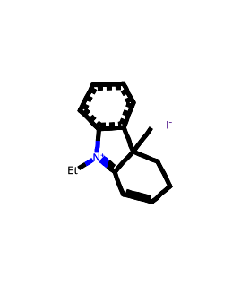 CC[N+]1=C2C=CCCC2(C)c2ccccc21.[I-]